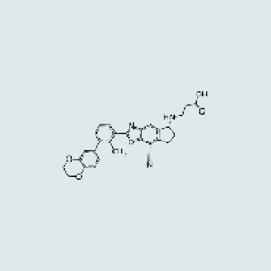 Cc1c(-c2ccc3c(c2)OCCO3)cccc1-c1nc2cc3c(c(C#N)c2o1)CC[C@H]3NCCC(=O)O